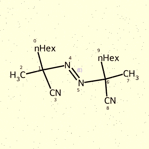 CCCCCCC(C)(C#N)/N=N/C(C)(C#N)CCCCCC